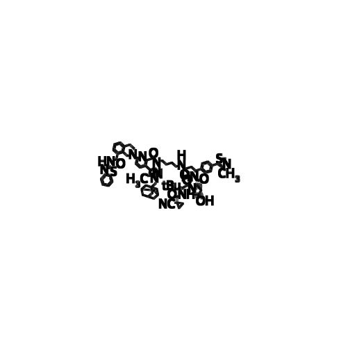 Cc1ncsc1-c1ccc(C(CC(=O)NCCCCNC(=O)c2nc(N3CCc4cccc(C(=O)Nc5nc6ccccc6s5)c4C3)ccc2-c2cnn(CC34CC5CC(CC(C5)C3)C4)c2C)NC(=O)[C@@H]2C[C@@H](O)CN2C(=O)C(NC(=O)C2(C#N)CC2)C(C)(C)C)cc1